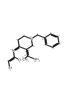 CC/C=C(Cl)/N=C1/CCN(Cc2ccccc2)C/C1=C(/C)N